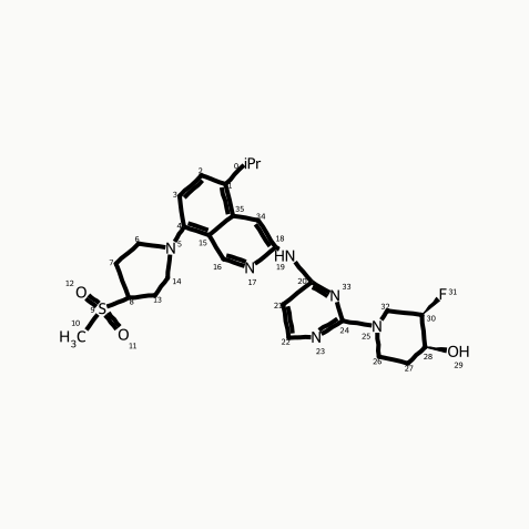 CC(C)c1ccc(N2CCC(S(C)(=O)=O)CC2)c2cnc(Nc3ccnc(N4CC[C@H](O)[C@H](F)C4)n3)cc12